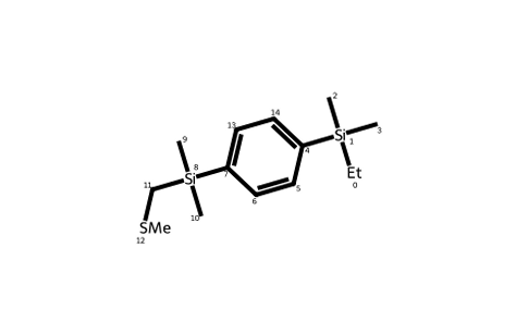 CC[Si](C)(C)c1ccc([Si](C)(C)CSC)cc1